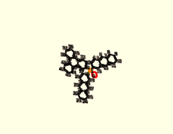 O=P(c1ccc2cc3ccccc3cc2c1)(c1ccc2cc3ccccc3cc2c1)c1ccc2c3ccccc3c3ccccc3c2c1